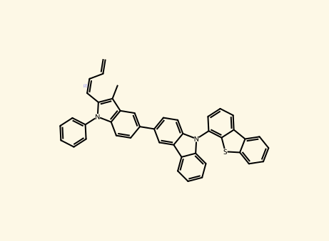 C=C/C=C\c1c(C)c2cc(-c3ccc4c(c3)c3ccccc3n4-c3cccc4c3sc3ccccc34)ccc2n1-c1ccccc1